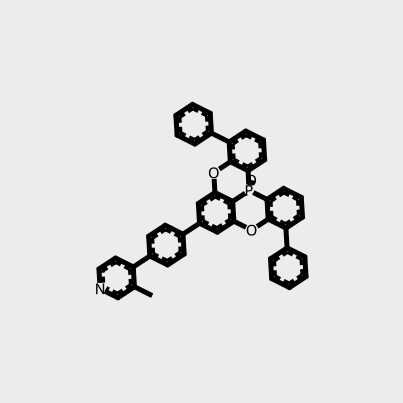 Cc1cnccc1-c1ccc(-c2cc3c4c(c2)Oc2c(-c5ccccc5)cccc2P4(=O)c2cccc(-c4ccccc4)c2O3)cc1